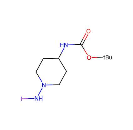 CC(C)(C)OC(=O)NC1CCN(NI)CC1